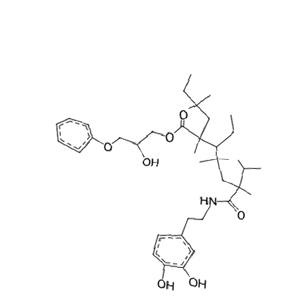 CCC(C(C)(C)CC(C)(C(=O)NCCc1ccc(O)c(O)c1)C(C)C)C(C)(CC(C)(C)CC)C(=O)OCC(O)COc1ccccc1